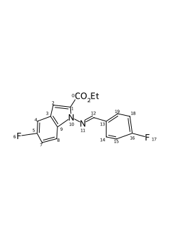 CCOC(=O)c1cc2cc(F)ccc2n1/N=C/c1ccc(F)cc1